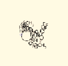 Cc1cc(C(=O)N[C@H]2CCCCC/C=C\[C@@H]3C[C@@]3(C(=O)NS(=O)(=O)C3(C)CC3)NC(=O)[C@@H]3C[C@@H](Oc4nc5cc(F)ccc5c5ccc(OC(F)(F)F)cc45)CN3C2=O)no1